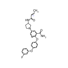 C/C=C/C(=O)NC1CCN(c2cnc(Oc3ccc(Oc4cccc(F)c4)cc3)c(C(N)=O)c2)C1